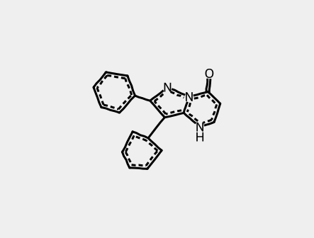 O=c1cc[nH]c2c(-c3ccccc3)c(-c3ccccc3)nn12